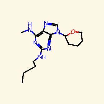 CCCCNc1nc(NC)c2ncn(C3CCCCO3)c2n1